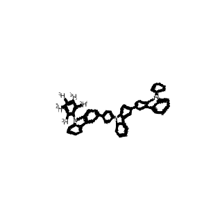 [2H]c1c([2H])c([2H])c(-n2c3ccccc3c3cc(-c4ccc(-n5c6ccccc6c6cc(-c7ccc8c(c7)c7ccccc7n8-c7ccccc7)ccc65)cc4)ccc32)c([2H])c1[2H]